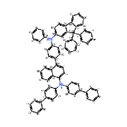 c1ccc(-c2ccc(N(c3ccc(-c4ccccc4)cc3)c3ccc(-c4ccc(N(c5ccccc5)c5ccc6c(c5)C(c5ccccc5)(c5ccccc5)c5ccccc5-6)cc4)c4ccccc34)cc2)cc1